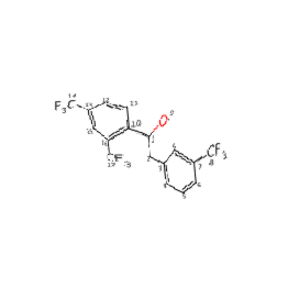 [O]C(Cc1cccc(C(F)(F)F)c1)c1ccc(C(F)(F)F)cc1C(F)(F)F